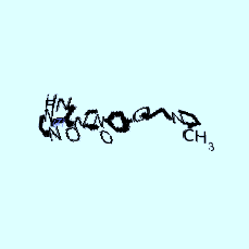 CC1CCCN1CCCOc1ccc(N2CCN(C(=O)/C(C=N)=C3\N=CC=CN3)CC2=O)cc1